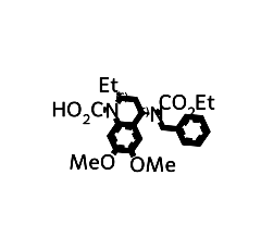 CCOC(=O)N(Cc1ccccc1)[C@H]1C[C@H](CC)N(C(=O)O)c2cc(OC)c(OC)cc21